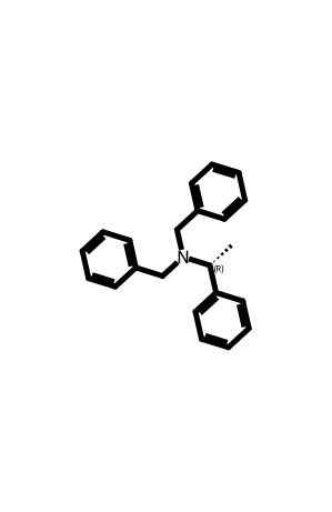 C[C@H](c1ccccc1)N(Cc1ccccc1)Cc1ccccc1